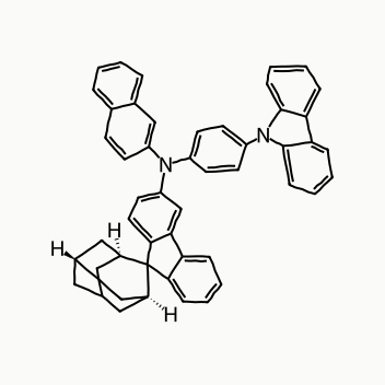 c1ccc2c(c1)-c1cc(N(c3ccc(-n4c5ccccc5c5ccccc54)cc3)c3ccc4ccccc4c3)ccc1C21[C@H]2CC3C[C@H](C2)C[C@@H]1C3